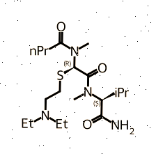 CCCC(=O)N(C)[C@H](SCCN(CC)CC)C(=O)N(C)[C@H](C(N)=O)C(C)C